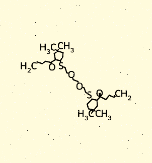 C=CCCC(=O)C1CC(C)(C)CCC1SCCOCCOCCSC1CCC(C)(C)CC1C(=O)CCC=C